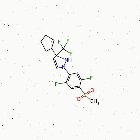 CS(=O)(=O)c1cc(F)c(N2C=CC(C3CCCC3)(C(F)(F)F)N2)cc1F